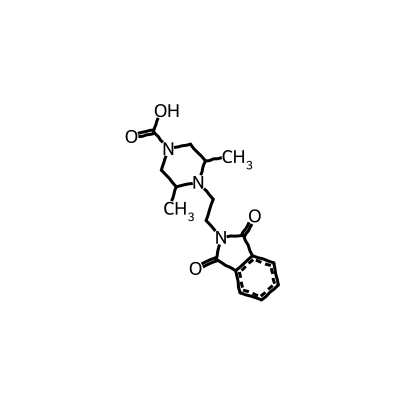 CC1CN(C(=O)O)CC(C)N1CCN1C(=O)c2ccccc2C1=O